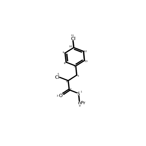 CCCSC(=O)C(Cl)Cc1ccc(Cl)cc1